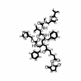 CC(C)c1nc(CN(C)C(=O)N[C@H](C(=O)N[C@@H](Cc2ccccc2)CC(CC(=O)CCCC(=O)ON2C(=O)CCC2=O)[C@H](Cc2ccccc2)NC(=O)OCc2cncs2)C(C)C)cs1